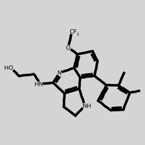 Cc1cccc(-c2ccc(OC(F)(F)F)c3nc(NCCO)c4c(c23)NCC4)c1C